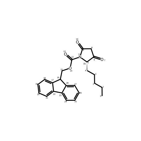 CCCCC[C@H]1C(=O)CC(=O)N1C(=O)OCC1c2ccccc2-c2ccccc21